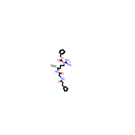 N=C(N)N(CCC[C@@H](C=O)NC(=O)CNC(=O)CCc1ccccc1)C(=O)OCc1ccccc1